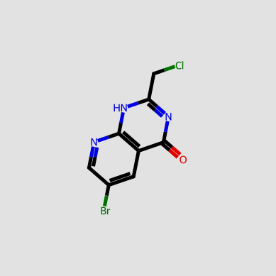 O=c1nc(CCl)[nH]c2ncc(Br)cc12